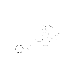 CN1CC[C@@]23C4C5=C(OC=NNc6ccccc6)C=CC4C[C@@H]1[C@@H]2C=CC(=O)[C@@H]3O5